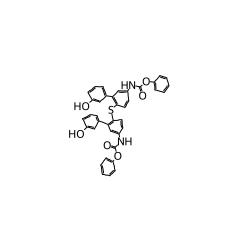 O=C(Nc1ccc(Sc2ccc(NC(=O)Oc3ccccc3)cc2-c2cccc(O)c2)c(-c2cccc(O)c2)c1)Oc1ccccc1